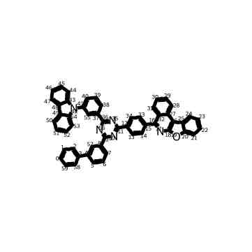 c1ccc(-c2cccc(-c3nc(-c4ccc(-c5nc6oc7ccccc7c6c6ccccc56)cc4)nc(-c4cccc(-n5c6ccccc6c6ccccc65)c4)n3)c2)cc1